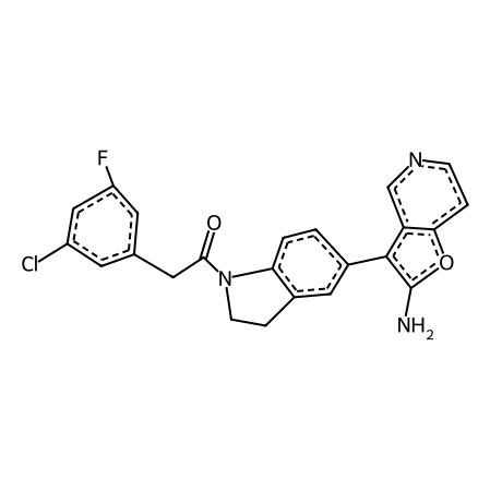 Nc1oc2ccncc2c1-c1ccc2c(c1)CCN2C(=O)Cc1cc(F)cc(Cl)c1